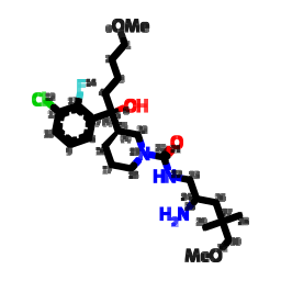 COCCCC[C@@](O)(c1cccc(Cl)c1F)[C@@H]1CCCN(C(=O)NCC(N)CC(C)(C)COC)C1